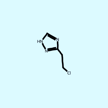 ClCCc1nc[nH]n1